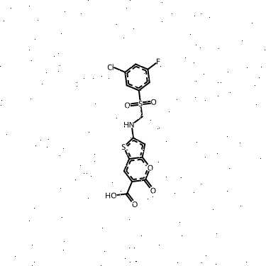 O=C(O)c1cc2sc(NCS(=O)(=O)c3cc(F)cc(Cl)c3)cc2oc1=O